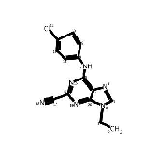 CCn1cnc2c(Nc3ccc(Cl)cc3)nc(C#N)nc21